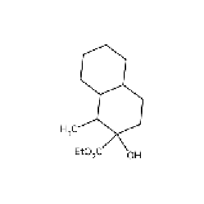 CCOC(=O)C1(O)CCC2CCCCC2C1C